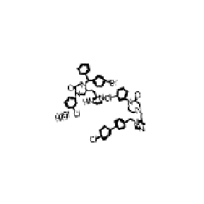 Cl.Cl.O=C1CN(C(c2ccccc2)c2ccc(Br)cc2)C(Cc2ncc[nH]2)CN1c1cccc(Cl)c1.O=C1CN(Cc2cncn2Cc2ccc(-c3ccc(Cl)cc3)cc2)CCN1c1cccc(Cl)c1